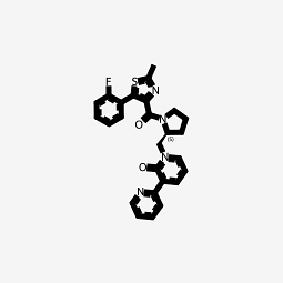 Cc1nc(C(=O)N2CCC[C@H]2Cn2cccc(-c3ccccn3)c2=O)c(-c2ccccc2F)s1